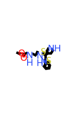 C=C(CCNCC(=O)OCC)Nc1sc2c(c1-c1nc3ccccc3s1)CCNC2